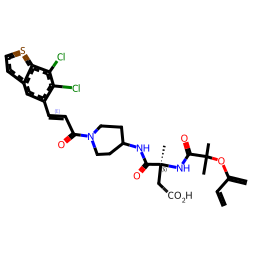 C=CC(=C)OC(C)(C)C(=O)N[C@@](C)(CC(=O)O)C(=O)NC1CCN(C(=O)/C=C/c2cc3ccsc3c(Cl)c2Cl)CC1